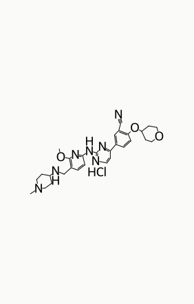 COc1nc(Nc2nccc(-c3ccc(OC4CCOCC4)c(C#N)c3)n2)ccc1CNC1CCN(C)CC1.Cl